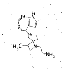 CC1CN(CCN)C12CCN(C1C=NC=Nc3[nH]ccc31)C2